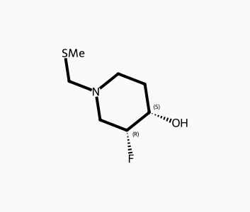 CSCN1CC[C@H](O)[C@H](F)C1